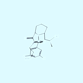 COCCN1C[C@H]([C@H](C)O)C2CCCC(C1=O)N2S(=O)(=O)c1cc(Cl)cc(Cl)c1